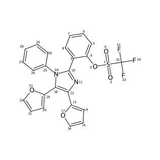 O=S(=O)(Oc1ccccc1-c1nc(-c2ccco2)c(-c2ccco2)n1-c1ccccc1)C(F)(F)F